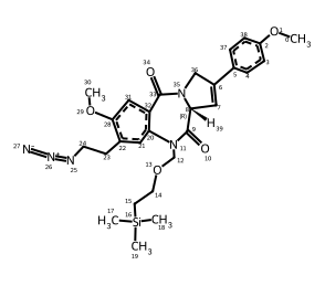 COc1ccc(C2=C[C@@H]3C(=O)N(COCC[Si](C)(C)C)c4cc(CCN=[N+]=[N-])c(OC)cc4C(=O)N3C2)cc1